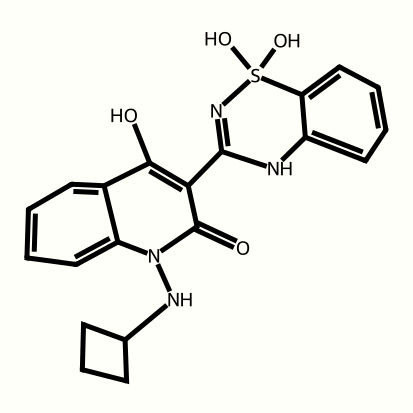 O=c1c(C2=NS(O)(O)c3ccccc3N2)c(O)c2ccccc2n1NC1CCC1